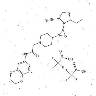 CCC1SCC(C#N)N1n1on1C1CCN(CC(=O)Nc2ccc3c(c2)OCCO3)CC1.O=C(O)C(F)(F)F.O=C(O)C(F)(F)F